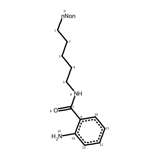 CCCCCCCCCCCCCCNC(=O)c1ccccc1N